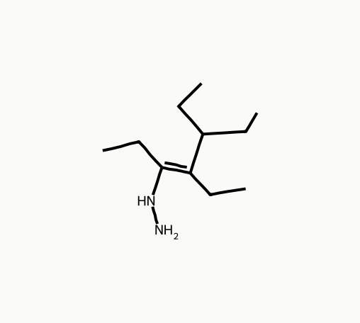 CCC(NN)=C(CC)C(CC)CC